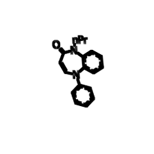 CCCN1C(=O)C=CN(c2ccccc2)c2ccccc21